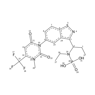 CCC(c1nsc2ccc(-n3c(=O)cc(C(F)(F)F)n(C)c3=O)cc12)N(CC)P(=O)(O)O